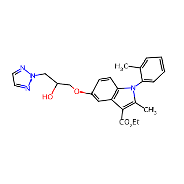 CCOC(=O)c1c(C)n(-c2ccccc2C)c2ccc(OCC(O)Cn3nccn3)cc12